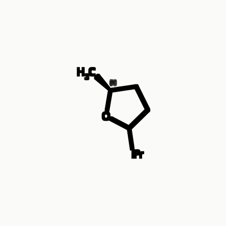 CC(C)C1CC[C@H](C)O1